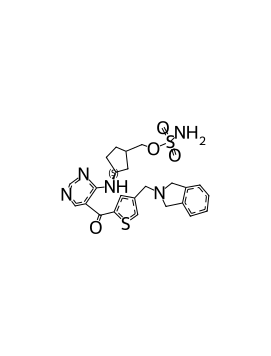 NS(=O)(=O)OCC1CC[C@H](Nc2ncncc2C(=O)c2cc(CN3Cc4ccccc4C3)cs2)C1